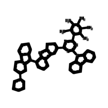 Bc1c(B)c(B)c(-c2nc(-c3ccc4oc5c(-n6c7ccccc7c7ccc(-c8ccccc8)cc76)cccc5c4c3)nc(-n3c4ccccc4c4ccccc43)n2)c(B)c1B